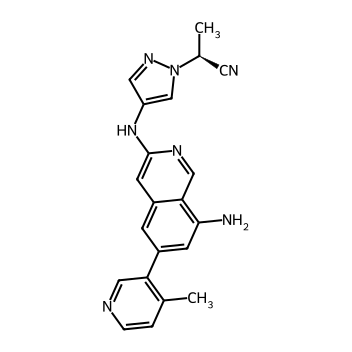 Cc1ccncc1-c1cc(N)c2cnc(Nc3cnn([C@@H](C)C#N)c3)cc2c1